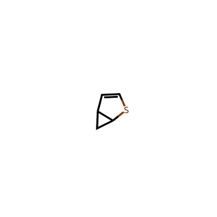 C1=CC2CC2S1